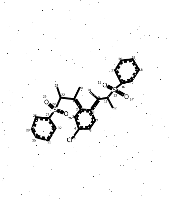 CC(=c1[c]c(Cl)ccc1=C(C)C(C)S(=O)(=O)c1ccccc1)C(C)S(=O)(=O)c1ccccc1